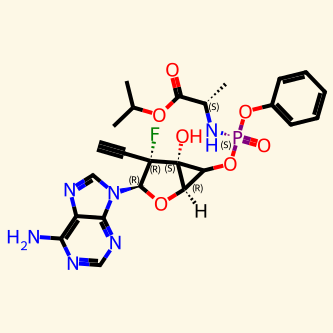 C#C[C@]1(F)[C@H](n2cnc3c(N)ncnc32)O[C@@H]2C(O[P@@](=O)(N[C@@H](C)C(=O)OC(C)C)Oc3ccccc3)[C@@]21O